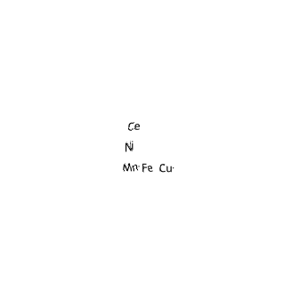 [Ce].[Cu].[Fe].[Mn].[Ni]